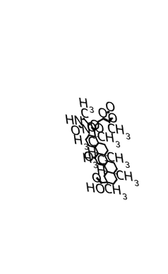 Cc1oc(=O)oc1COC(=O)[C@@]1(C)C2CC[C@]3(C)[C@H](C(=O)C=C4[C@@H]5C[C@@](C)(C(=O)O)CC[C@]5(C)CC[C@]43C)[C@@]2(C)CC[C@@H]1N1C(=O)N[C@H](C)C1=O